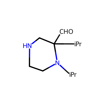 CC(C)N1CCNCC1(C=O)C(C)C